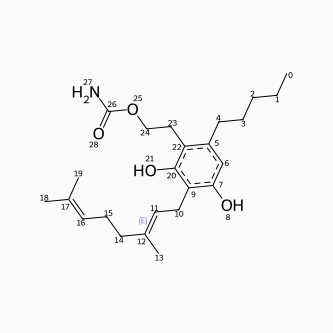 CCCCCc1cc(O)c(C/C=C(\C)CCC=C(C)C)c(O)c1CCOC(N)=O